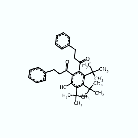 CC(C)(C)c1c(O)c(C(=O)CCc2ccccc2)c(C(=O)CCc2ccccc2)c(C(C)(C)C)c1C(C)(C)C